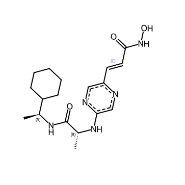 C[C@H](NC(=O)[C@@H](C)Nc1cnc(/C=C/C(=O)NO)cn1)C1CCCCC1